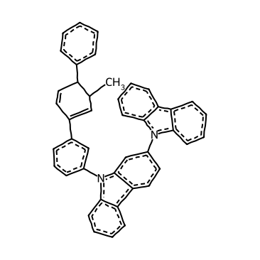 CC1C=C(c2cccc(-n3c4ccccc4c4ccc(-n5c6ccccc6c6ccccc65)cc43)c2)C=CC1c1ccccc1